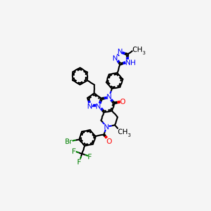 Cc1nnc(-c2ccc(-n3c(=O)c4c(n5ncc(Cc6ccccc6)c35)CN(C(=O)c3ccc(Br)c(C(F)(F)F)c3)C(C)C4)cc2)[nH]1